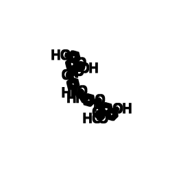 O=C(Nc1ccc(C(=O)N=C2C=Cc3c(O)cccc3C2S(=O)(=O)O)cc1)Nc1ccc(C(=O)N=C2C=Cc3c(O)cccc3C2S(=O)(=O)O)cc1